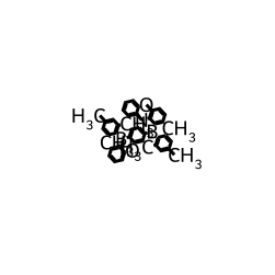 Cc1cc(C)c(B2c3ccccc3Oc3cc4c(cc32)N2c3ccccc3Oc3cccc(c32)B4c2c(C)cc(C)cc2C)c(C)c1